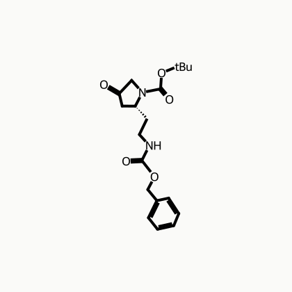 CC(C)(C)OC(=O)N1CC(=O)C[C@H]1CCNC(=O)OCc1ccccc1